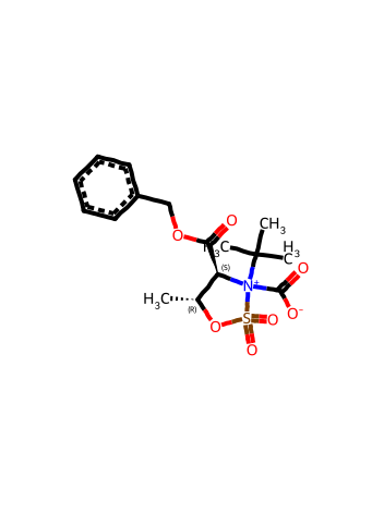 C[C@H]1OS(=O)(=O)[N+](C(=O)[O-])(C(C)(C)C)[C@@H]1C(=O)OCc1ccccc1